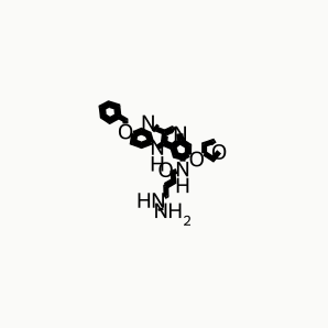 N#Cc1cnc2cc(OC3CCOC3)c(NC(=O)/C=C/CNN)cc2c1Nc1ccc(OCc2ccccc2)cc1